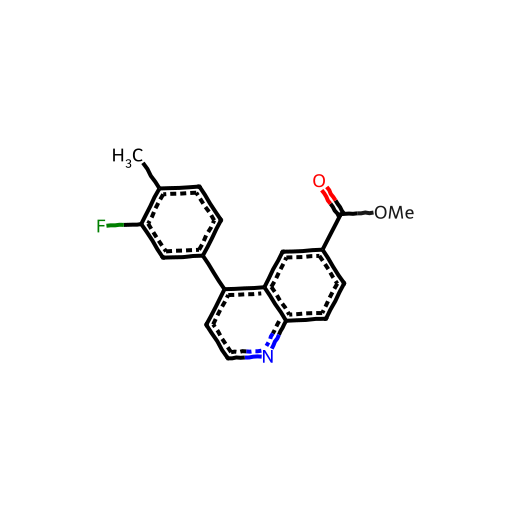 COC(=O)c1ccc2nccc(-c3ccc(C)c(F)c3)c2c1